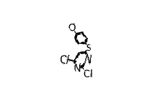 COc1ccc(Sc2cc(Cl)nc(Cl)n2)cc1